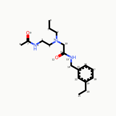 CCCN(CCNC(C)=O)CC(=O)NCc1cccc(CC)c1